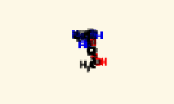 C[C@@H](O)COC1CCC(NC(=O)c2nc(-n3ccnc3)cc3cn[nH]c23)CC1